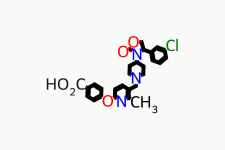 Cc1nc(Oc2ccc(C(=O)O)cc2)ccc1CN1CCC(N2C(=O)OCC2c2cccc(Cl)c2)CC1